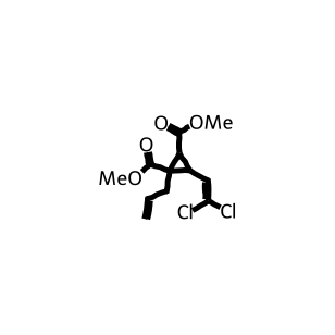 C=CCC1(C(=O)OC)C(C=C(Cl)Cl)C1C(=O)OC